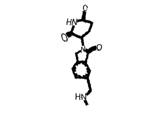 CNCc1ccc2c(c1)C(=O)N(C1CCC(=O)NC1=O)C2